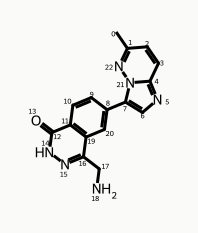 Cc1ccc2ncc(-c3ccc4c(=O)[nH]nc(CN)c4c3)n2n1